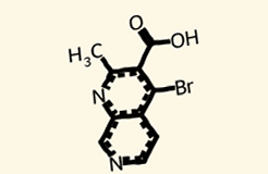 Cc1nc2cnccc2c(Br)c1C(=O)O